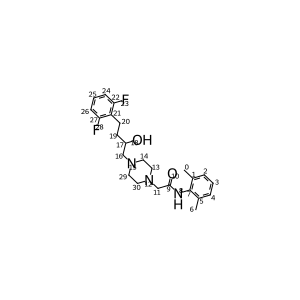 Cc1cccc(C)c1NC(=O)CN1CCN(CC(O)CCc2c(F)cccc2F)CC1